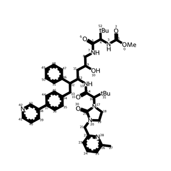 COC(=O)NC(C(=O)NCC(O)CC(NC(=O)C(N1CCN(Cc2cccc(C)n2)C1=O)C(C)(C)C)C(Cc1ccc(-c2cccnc2)cc1)c1ccccc1)C(C)(C)C